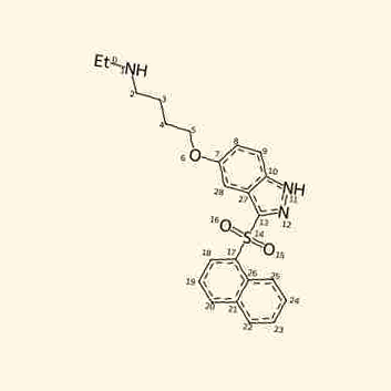 CCNCCCCOc1ccc2[nH]nc(S(=O)(=O)c3cccc4ccccc34)c2c1